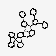 C1=CC2=C(CC1)c1c(ccc3c1Oc1cccc(N(c4cccc(-c5ccccc5)c4)c4cc(-c5ccccc5)cc(-c5ccccc5)c4)c1O3)C21c2ccccc2-c2ccccc21